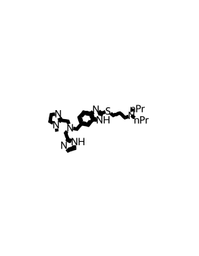 CCCN(CCC)CCCSc1nc2ccc(CN(CC3=NCCN3C)Cc3ncc[nH]3)cc2[nH]1